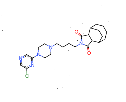 O=C1C2C3CCCCC(CC3)C2C(=O)N1CCCCN1CCN(c2cncc(Cl)n2)CC1